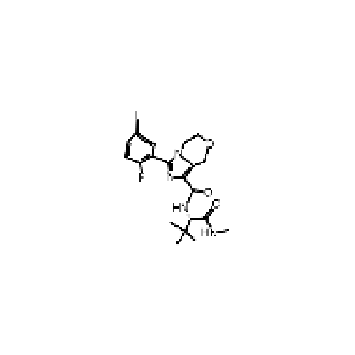 CNC(=O)[C@@H](NC(=O)c1nc(-c2cc(F)ccc2F)n2c1COCC2)C(C)(C)C